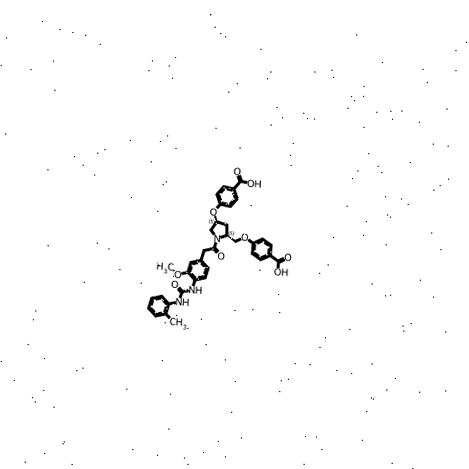 COc1cc(CC(=O)N2C[C@@H](Oc3ccc(C(=O)O)cc3)C[C@H]2COc2ccc(C(=O)O)cc2)ccc1NC(=O)Nc1ccccc1C